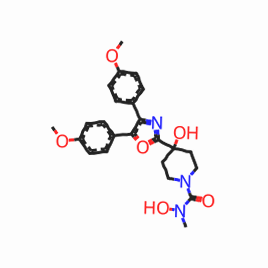 COc1ccc(-c2nc(C3(O)CCN(C(=O)N(C)O)CC3)oc2-c2ccc(OC)cc2)cc1